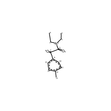 CCN(CC)C(=O)C(=O)c1ccc(C)cc1